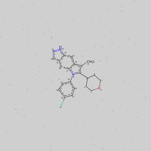 O=Cc1c(C2CCOCC2)n(-c2ccc(F)cc2)c2cc3cn[nH]c3cc12